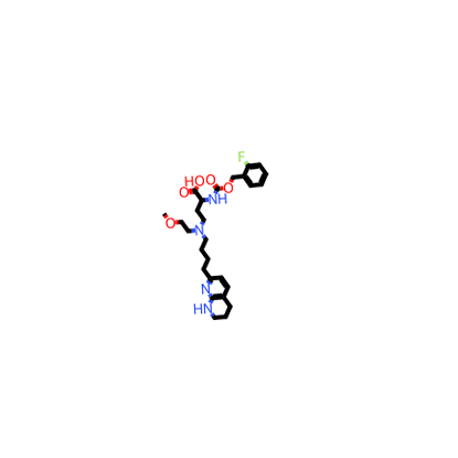 COCCN(CCCCc1ccc2c(n1)NCCC2)CCC(NC(=O)OCc1ccccc1F)C(=O)O